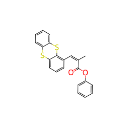 CC(=Cc1cccc2c1Sc1ccccc1S2)C(=O)Oc1ccccc1